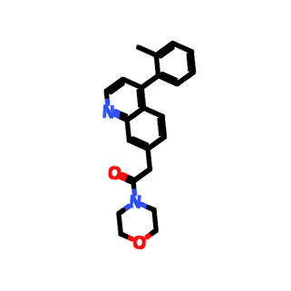 Cc1ccccc1-c1ccnc2cc(CC(=O)N3CCOCC3)ccc12